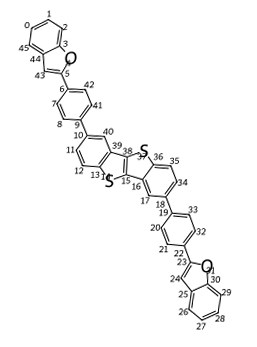 c1ccc2oc(-c3ccc(-c4ccc5sc6c7cc(-c8ccc(-c9cc%10ccccc%10o9)cc8)ccc7sc6c5c4)cc3)cc2c1